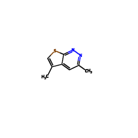 Cc1cc2c(C)csc2nn1